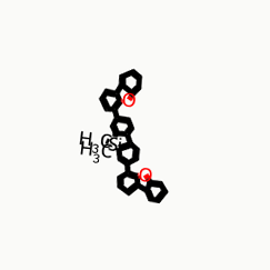 C[Si]1(C)c2cc(-c3cccc4c3oc3ccccc34)ccc2-c2ccc(-c3cccc4c3oc3ccccc34)cc21